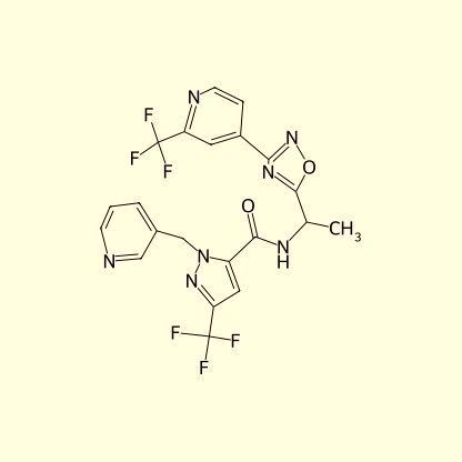 CC(NC(=O)c1cc(C(F)(F)F)nn1Cc1cccnc1)c1nc(-c2ccnc(C(F)(F)F)c2)no1